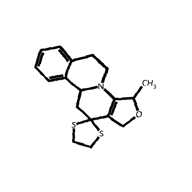 CC1OCC2=C1N1CCc3ccccc3C1CC21SCCS1